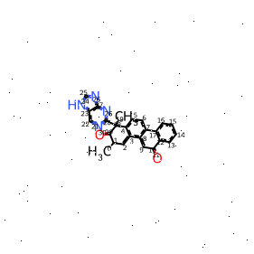 CC1C=c2c(ccc3c2=CC(=O)c2ccccc2-3)C(C)(c2ncc3[nH]cnc3n2)C1=O